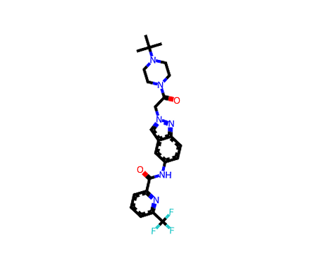 CC(C)(C)N1CCN(C(=O)Cn2cc3cc(NC(=O)c4cccc(C(F)(F)F)n4)ccc3n2)CC1